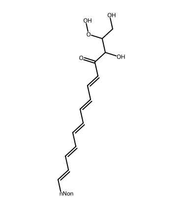 CCCCCCCCCC=CC=CC=CC=CC=CC(=O)C(O)C(CO)OO